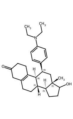 CCN(CC)c1ccc([C@H]2C[C@]3(C)C(O)CC[C@H]3[C@@H]3CCC4=C(CCC(=O)C4)[C@H]32)cc1